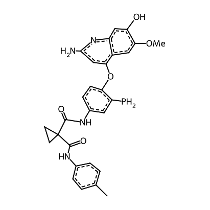 COc1cc2c(Oc3ccc(NC(=O)C4(C(=O)Nc5ccc(C)cc5)CC4)cc3P)cc(N)nc2cc1O